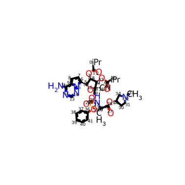 CC(C)C(=O)O[C@H]1[C@H](c2ccc3c(N)ncnn23)O[C@](C#N)(CO[P@](=O)(N[C@@H](C)C(=O)O[C@H]2CCN(C)C2)Oc2ccccc2)[C@H]1OC(=O)C(C)C